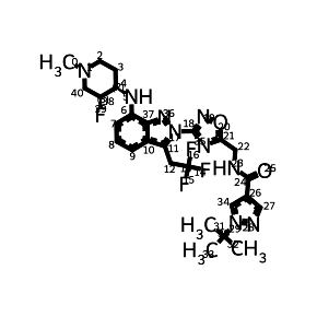 CN1CC[C@@H](Nc2cccc3c(CC(F)(F)F)n(-c4noc(CNC(=O)c5cnn(C(C)(C)C)c5)n4)nc23)[C@@H](F)C1